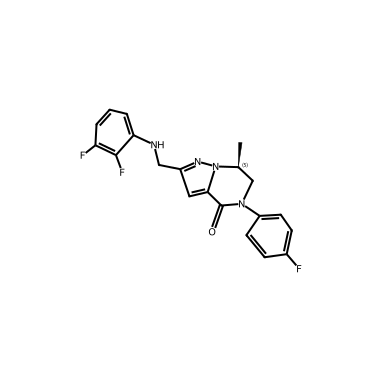 C[C@H]1CN(c2ccc(F)cc2)C(=O)c2cc(CNc3cccc(F)c3F)nn21